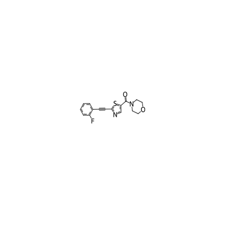 O=C(c1cnc(C#Cc2ccccc2F)s1)N1CCOCC1